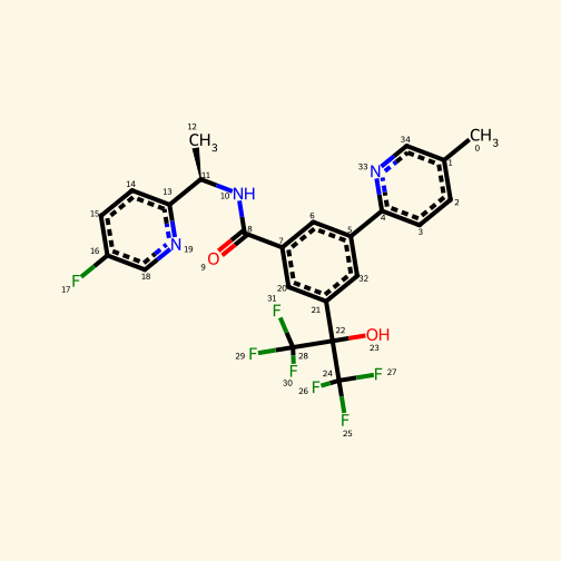 Cc1ccc(-c2cc(C(=O)N[C@H](C)c3ccc(F)cn3)cc(C(O)(C(F)(F)F)C(F)(F)F)c2)nc1